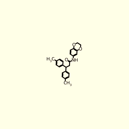 Cc1ccc(C(CC(=O)Nc2ccc3c(c2)OCCO3)c2ccc(C)cc2)cc1